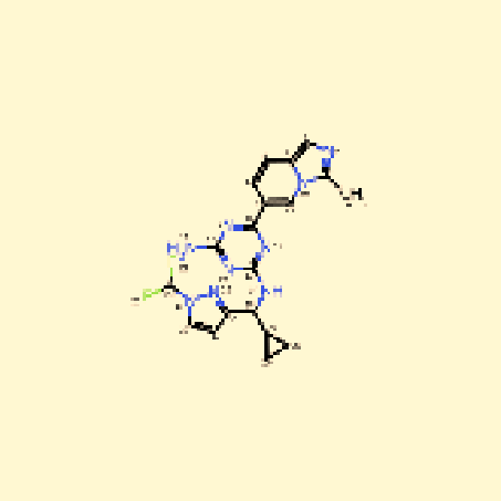 Cc1ncc2ccc(-c3nc(N)nc(N[C@H](c4ccn(C(F)F)n4)C4CC4)n3)cn12